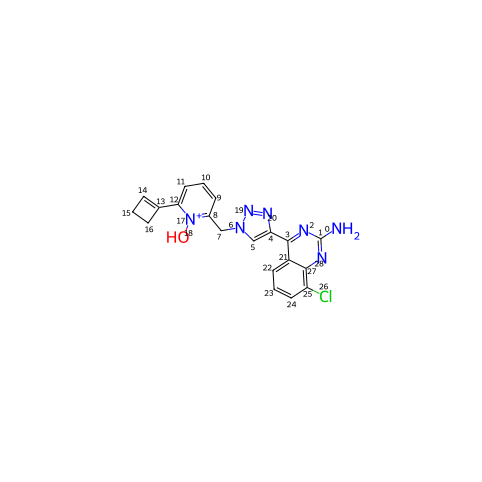 Nc1nc(-c2cn(Cc3cccc(C4=CCC4)[n+]3O)nn2)c2cccc(Cl)c2n1